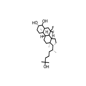 C[C@H](CCCC(C)(C)O)[C@H]1CC[C@H]2[C@H]3[C@H](CC[C@]12C)[C@@]1(C)CC[C@H](O)C(O)C1CC3(F)F